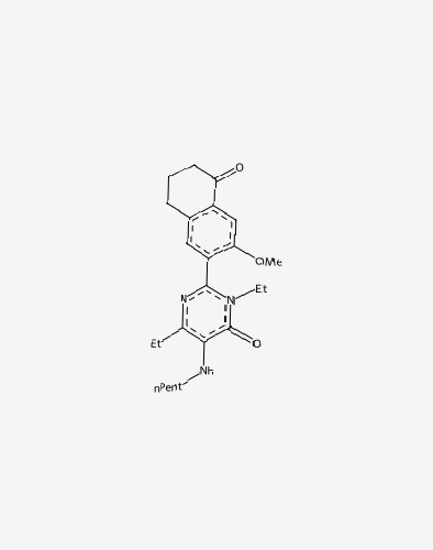 CCCCCNc1c(CC)nc(-c2cc3c(cc2OC)C(=O)CCC3)n(CC)c1=O